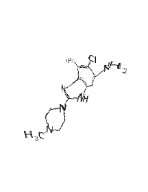 CC(C)c1c(Cl)c(N)cc2[nH]c(N3CCN(C)CC3)nc12